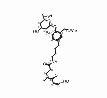 COCc1cc(CCCCNC(=O)CCN(C)C(=O)/C=C\C=O)ccc1OC1OC(C(=O)O)CC(O)[C@H]1O